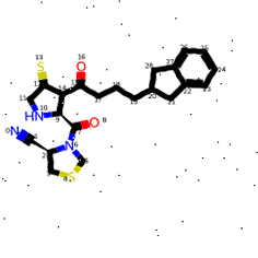 N#C[C@@H]1CSCN1C(=O)[C@H]1NCC(=S)C1C(=O)CCCC1Cc2ccccc2C1